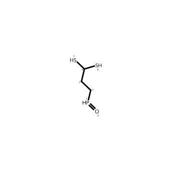 O=[PH]CCC(S)S